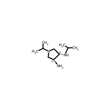 CC(C)N[C@H]1CN(C(C)C)C[C@@H]1N